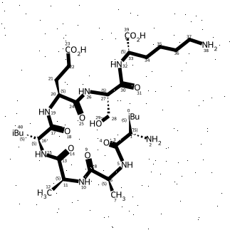 CC[C@H](C)[C@H](N)C(=O)N[C@@H](C)C(=O)N[C@@H](C)C(=O)N[C@H](C(=O)N[C@@H](CCC(=O)O)C(=O)N[C@@H](CO)C(=O)N[C@@H](CCCCN)C(=O)O)[C@@H](C)CC